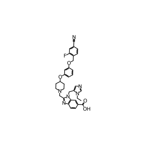 CCn1cncc1Cn1c(CN2CCC(Oc3cccc(OCc4ccc(C#N)cc4F)c3)CC2)nc2ccc(C(=O)O)cc21